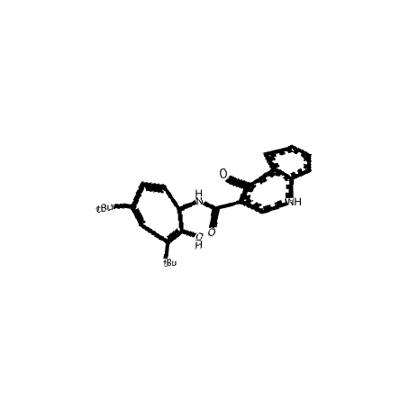 CC(C)(C)C1=CC(C(C)(C)C)=C(O)C(NC(=O)c2c[nH]c3ccccc3c2=O)C=C1